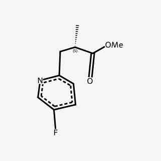 COC(=O)[C@@H](C)Cc1ccc(F)cn1